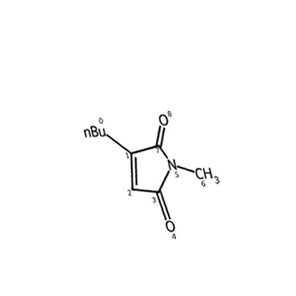 CCCCC1=CC(=O)N(C)C1=O